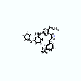 CCc1sc(Nc2cc(CN3CCCC3)ccn2)nc1/C=C\Cc1ccnc(C(F)(F)F)c1